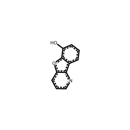 Oc1cccc2c1oc1cccnc12